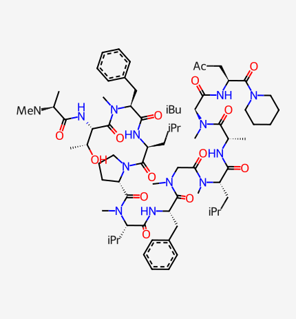 CC[C@H](C)[C@@H](C(=O)N[C@@H](CC(C)=O)C(=O)N1CCCCC1)N(C)C(=O)[C@H](C)NC(=O)[C@H](CC(C)C)N(C)C(=O)CN(C)C(=O)[C@H](Cc1ccccc1)NC(=O)[C@H](C(C)C)N(C)C(=O)[C@@H]1CCCN1C(=O)[C@H](CC(C)C)NC(=O)[C@H](Cc1ccccc1)N(C)C(=O)[C@@H](NC(=O)[C@H](C)NC)[C@@H](C)O